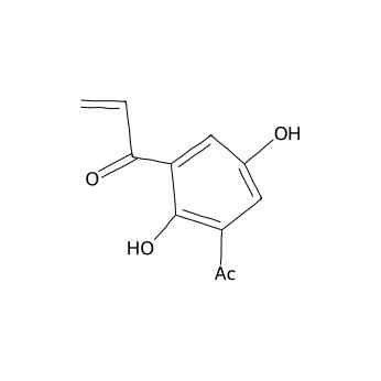 C=CC(=O)c1cc(O)cc(C(C)=O)c1O